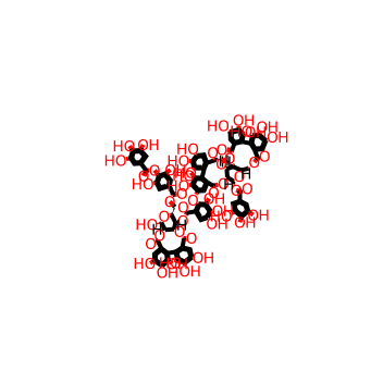 O=C(OC[C@H]1O[C@@H](O)[C@@H]2OC(=O)c3cc(O)c(O)c(O)c3-c3c(cc(O)c(O)c3O)C(=O)O[C@H]2[C@@H]1OC(=O)c1cc(O)c(O)c(O)c1Oc1cc2c(c(O)c1O)-c1c(cc(O)c(O)c1O)C(=O)O[C@@H]1[C@@H](OC2=O)[C@H](OC(=O)c2cc(O)c(O)c(O)c2)O[C@@H]2COC(=O)c3cc(O)c(O)c(O)c3-c3c(cc(O)c(O)c3O)C(=O)O[C@@H]12)c1cc(O)c(OC(=O)c2cc(O)c(O)c(O)c2)c(O)c1